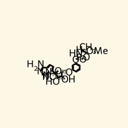 COC(=O)[C@H](C)N[PH](=O)Oc1cccc(OC[C@H]2O[C@@](C#N)(c3ccc4c(N)ncnn34)[C@H](O)[C@@H]2O)c1